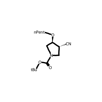 CCCCCO[C@@H]1CN(C(=O)OC(C)(C)C)C[C@H]1C#N